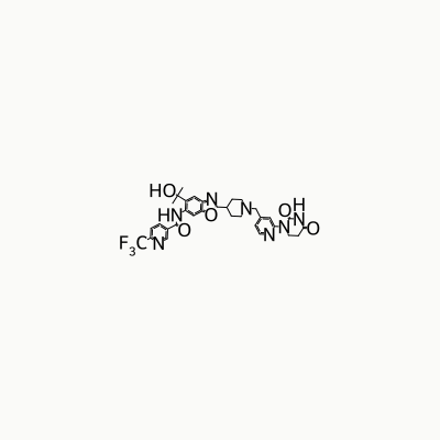 CC(C)(O)c1cc2nc(C3CCN(Cc4ccnc(N5CCC(=O)NC5=O)c4)CC3)oc2cc1NC(=O)c1ccc(C(F)(F)F)nc1